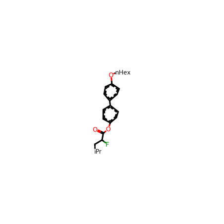 CCCCCCOc1ccc(-c2ccc(OC(=O)C(F)CC(C)C)cc2)cc1